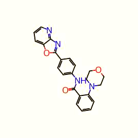 O=C(Nc1ccc(-c2nc3ncccc3o2)cc1)c1ccccc1N1CCOCC1